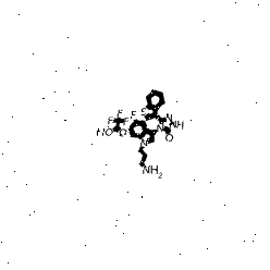 NCCCn1cc(-n2c(-c3csc4ccccc34)n[nH]c2=O)c2cc(F)ccc21.O=C(O)C(F)(F)F